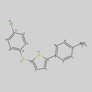 O=[N+]([O-])c1ccc(-c2ccc(Sc3ccc(Cl)cc3)s2)cc1